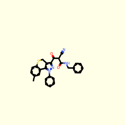 Cc1ccc2c(c1)-c1c(c(C(=O)C(C#N)C(=O)NCc3ccccc3)nn1-c1ccccc1)CS2